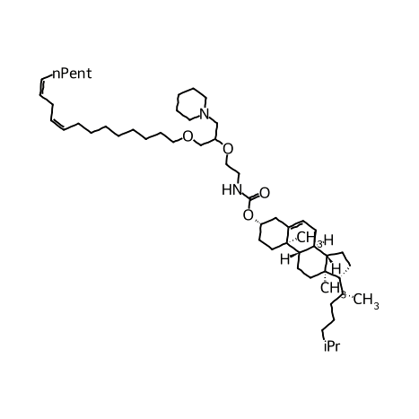 CCCCC/C=C\C/C=C\CCCCCCCCOCC(CN1CCCCC1)OCCNC(=O)O[C@H]1CC[C@@]2(C)C(=CC[C@H]3[C@@H]4CC[C@H]([C@H](C)CCCC(C)C)[C@@]4(C)CC[C@@H]32)C1